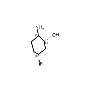 CC(C)[C@@H]1CC[C@@H](N)[C@H](O)C1